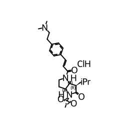 CC(C)[C@H]1C(=O)N(S(C)(=O)=O)[C@H]2CCN(C(=O)C=Cc3ccc(CCN(C)C)cc3)[C@H]12.Cl